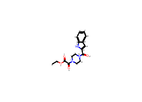 CCOC(=O)C(=O)N1CCN(C(=O)c2cc3ccccc3[nH]2)CC1